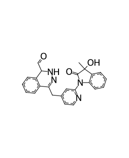 CC1(O)C(=O)N(c2cc(CC3=NNC(C=O)c4ccccc43)ccn2)c2ccccc21